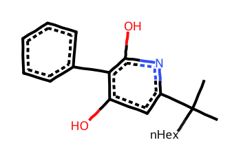 CCCCCCC(C)(C)c1cc(O)c(-c2ccccc2)c(O)n1